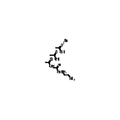 CC(=O)O.CC(=O)O.CC(=O)O.CC(=O)O.NCCN.[Ti].[Zn]